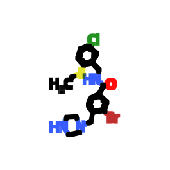 CCSc1ccc(Cl)cc1CNC(=O)c1ccc(CN2CCNCC2)c(Br)c1